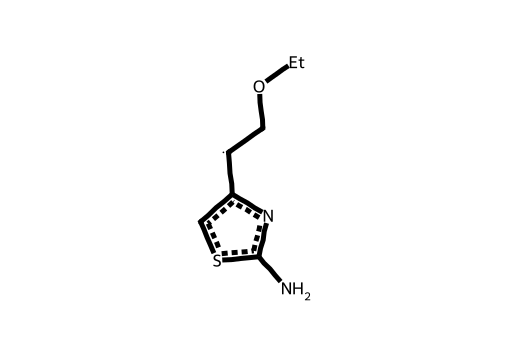 CCOC[CH]c1csc(N)n1